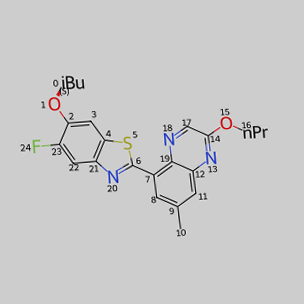 C[CH][C@H](C)Oc1cc2sc(-c3cc(C)cc4nc(OCCC)cnc34)nc2cc1F